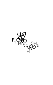 Cc1cc(NC2CCC(NC(=O)N(OC(=O)C(F)(F)F)c3ccc(Cl)c(Cl)c3)CC2)nc2ccccc12